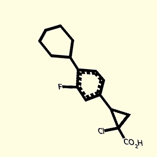 O=C(O)C1(Cl)CC1c1ccc(C2CCCCC2)c(F)c1